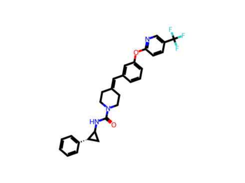 O=C(NC1C[C@@H]1c1ccccc1)N1CCC(=Cc2cccc(Oc3ccc(C(F)(F)F)cn3)c2)CC1